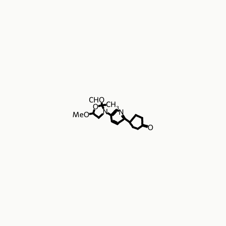 COC1CN(c2ccc(C3CCC(=O)CC3)nc2)C(C)(C=O)O1